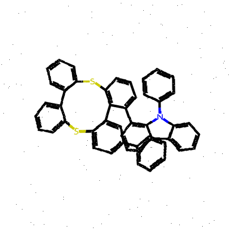 c1ccc(-c2ccc3c(c2)-c2c(cccc2-c2cccc4c5ccccc5n(-c5ccccc5)c24)Sc2ccccc2-c2ccccc2S3)cc1